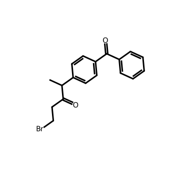 CC(C(=O)CCBr)c1ccc(C(=O)c2ccccc2)cc1